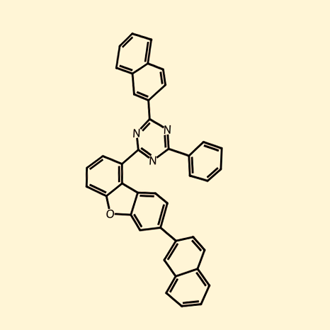 c1ccc(-c2nc(-c3ccc4ccccc4c3)nc(-c3cccc4oc5cc(-c6ccc7ccccc7c6)ccc5c34)n2)cc1